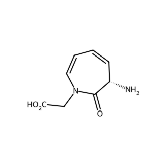 N[C@H]1C=CC=CN(CC(=O)O)C1=O